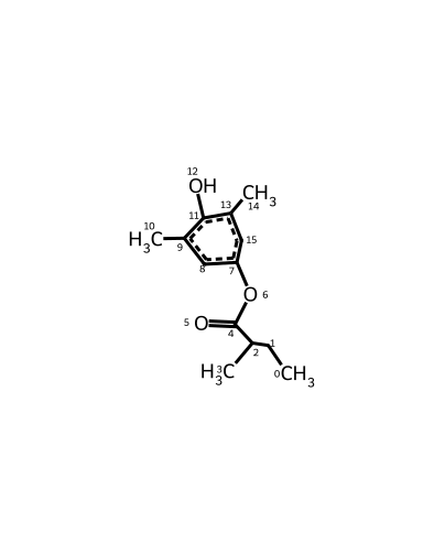 CCC(C)C(=O)Oc1cc(C)c(O)c(C)c1